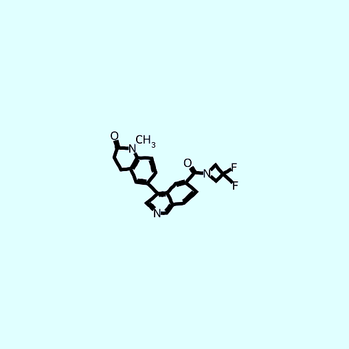 CN1C(=O)CCc2cc(-c3cncc4ccc(C(=O)N5CC(F)(F)C5)cc34)ccc21